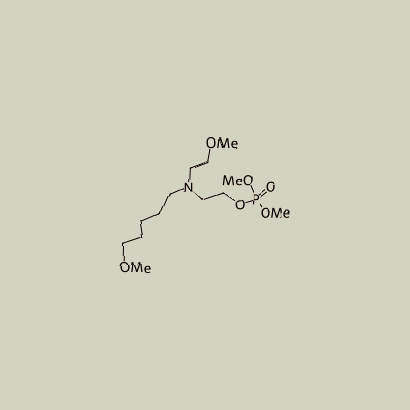 COCCCCCN(CCOC)CCOP(=O)(OC)OC